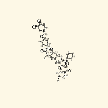 CC[C@H](c1ccccc1)N1Cc2cc3c(cc2C[C@H]1C(=O)OC1C[C@H](C)CC[C@H]1C(C)C)N(C)C(=O)[C@@H](c1ccc(OCc2ccc(Cl)c(Cl)c2)cc1)O3